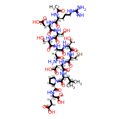 CC(=O)N[C@@H](CCCNC(=N)N)C(=O)N[C@@H](CC(=O)O)C(=O)N[C@@H](CO)C(=O)N[C@@H](CO)C(=O)N[C@@H](CC(N)=O)C(=O)N[C@@H](CO)C(=O)N[C@@H](CS)C(=O)N[C@@H](CC(=O)O)C(=O)N[C@@H](CC(C)C)C(=O)N1CCC[C@H]1C(=O)N[C@@H](CCC(=O)O)C(=O)O